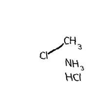 CCl.Cl.N